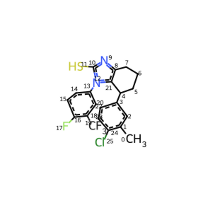 Cc1cc(C2CCCc3nc(S)n(-c4ccc(F)c(C(F)(F)F)c4)c32)ccc1Cl